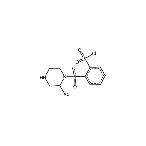 CC(=O)C1CNCCN1S(=O)(=O)c1ccccc1S(=O)(=O)Cl